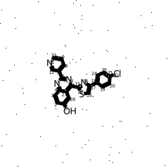 Oc1ccc2nc(-c3cccnc3)nc(-c3nc(-c4ccc(Cl)cc4)cs3)c2c1